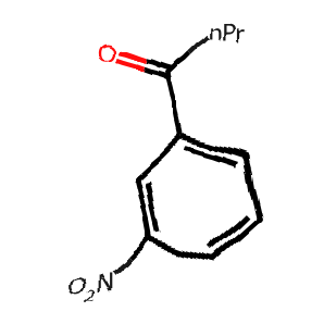 CCCC(=O)c1cccc([N+](=O)[O-])c1